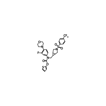 O=C(Oc1cccs1)N(CC1C2CN(S(=O)(=O)c3ccc(C(F)(F)F)cc3)CC12)c1ccc(N2CCOCC2)c(F)c1